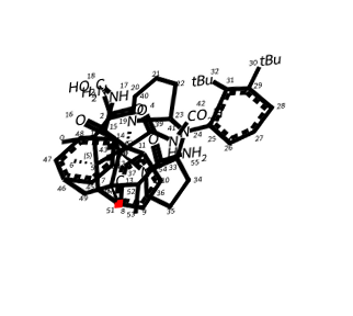 CC(C(N)=O)[C@]1(C)Cc2ccc(cc2)[C@@]1(C(=O)NC(=O)O)N1CCCC1N(c1cccc(C(C)(C)C)c1C(C)(C)C)C1CCCN1[C@]1(C(=O)NC(=O)O)c2ccc(cc2)C[C@@]1(C)C(C)C(N)=O